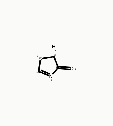 I.O=C1CSC=N1